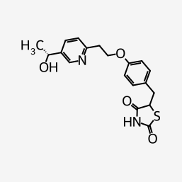 C[C@@H](O)c1ccc(CCOc2ccc(CC3SC(=O)NC3=O)cc2)nc1